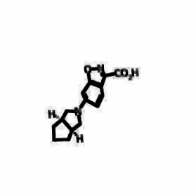 O=C(O)c1noc2cc(N3C[C@H]4CCC[C@H]4C3)ccc12